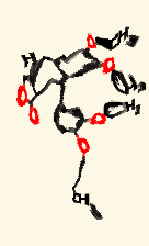 CCCCOc1ccc(C2=C3C(=O)OC[C@H]3Cc3cc(OC)c(OC)cc32)cc1OC